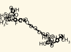 Cc1ncsc1-c1ccc(CNC(=O)[C@@H]2C[C@@H](O)CN2C(=O)[C@@H](NC(=O)COCCOCCOCCOCCOCC(=O)N2CC=C(c3cc(NC(=O)c4c[nH]c(=O)cc4C(F)(F)F)c(N4C[C@@H](C)N(C)[C@@H](C)C4)cc3F)CC2)C(C)(C)C)cc1